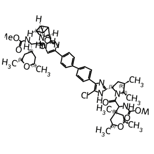 COC(=O)NC(C(=O)N1[C@H](c2nc(-c3ccc(-c4ccc(-c5nc([C@@H]6C[C@@H](C)[C@@H](C)N6C(=O)C(NC(=O)OC)[C@@]6(C)C[C@@H](C)O[C@@H](C)C6)[nH]c5Cl)cc4)cc3)c[nH]2)C2[C@@H]3[C@H]1[C@]23C)[C@H]1C[C@@H](C)O[C@@H](C)C1